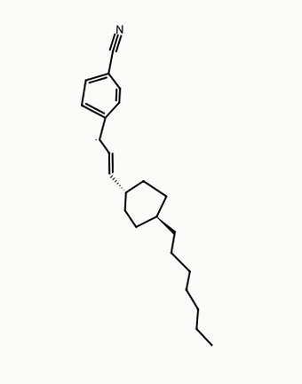 CCCCCCC[C@H]1CC[C@H](/C=C/[CH]c2ccc(C#N)cc2)CC1